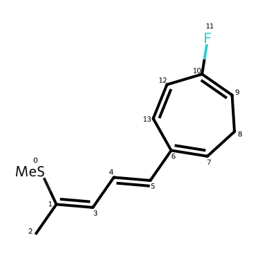 CS/C(C)=C\C=C\C1=CCC=C(F)C=C1